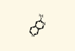 [2H]c1cc2ccncc2cn1